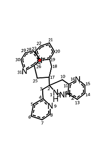 NNC(Cc1ccccn1)(Cc1ccccn1)C(Cc1ccccn1)Cc1ccccn1